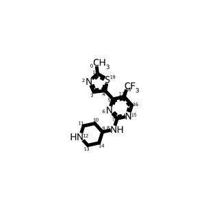 Cc1ncc(-c2nc(NC3CCNCC3)ncc2C(F)(F)F)s1